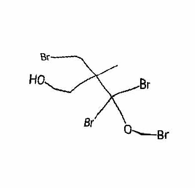 CC(CO)(CBr)C(Br)(Br)OBr